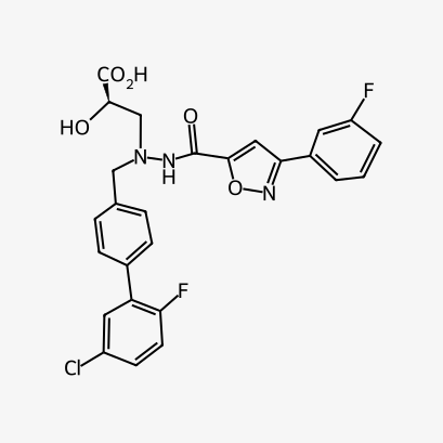 O=C(NN(Cc1ccc(-c2cc(Cl)ccc2F)cc1)C[C@@H](O)C(=O)O)c1cc(-c2cccc(F)c2)no1